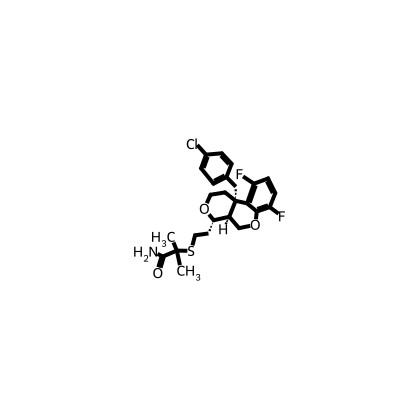 CC(C)(SCC[C@@H]1OCC[C@@]2(Cc3ccc(Cl)cc3)c3c(F)ccc(F)c3OC[C@@H]12)C(N)=O